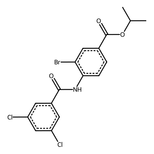 CC(C)OC(=O)c1ccc(NC(=O)c2cc(Cl)cc(Cl)c2)c(Br)c1